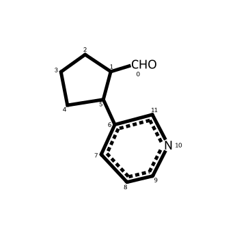 O=CC1CCCC1c1cccnc1